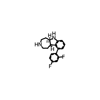 Fc1ccc(-c2cccc3c2[C@@H]2CCNCC[C@@H]2N3)c(F)c1